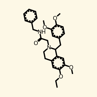 CCOc1cc2c(cc1OC)C(Cc1ccc(OC)c(OC)c1)N(CC(=O)NCc1ccccc1)CC2